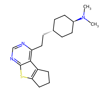 CN(C)[C@H]1CC[C@H](CCc2ncnc3sc4c(c23)CCC4)CC1